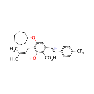 CC(C)=CCc1c(OC2CCCCCC2)cc(/C=C/c2ccc(C(F)(F)F)cc2)c(C(=O)O)c1O